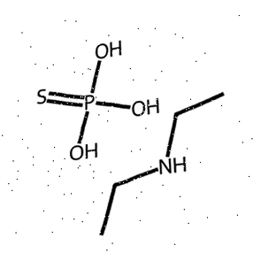 CCNCC.OP(O)(O)=S